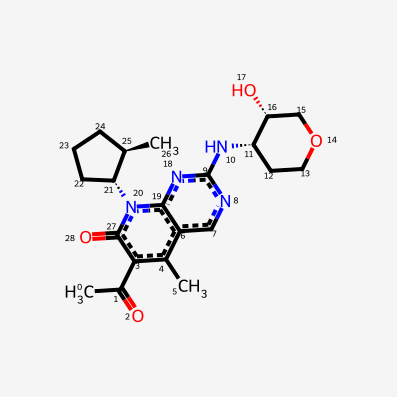 CC(=O)c1c(C)c2cnc(N[C@H]3CCOC[C@H]3O)nc2n([C@@H]2CCC[C@H]2C)c1=O